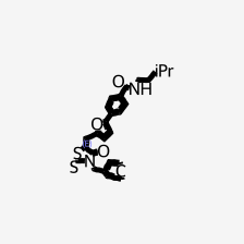 CC(C)CCNC(=O)c1ccc(-c2ccc(/C=C3/SC(=S)N(Cc4ccccc4)C3=O)o2)cc1